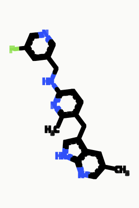 Cc1cnc2[nH]cc(Cc3ccc(NCc4cncc(F)c4)nc3C)c2c1